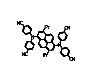 CC(C)c1cc(N(c2ccc(C#N)cc2)c2ccc(C#N)cc2)c2ccc3c(C(C)C)cc(N(c4ccc(C#N)cc4)c4ccc(C#N)cc4)c4ccc1c2c34